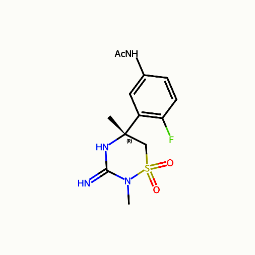 CC(=O)Nc1ccc(F)c([C@]2(C)CS(=O)(=O)N(C)C(=N)N2)c1